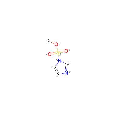 COS(=O)(=O)n1ccnc1